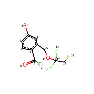 O=C(Cl)c1ccc(Br)cc1COC(F)(F)CF